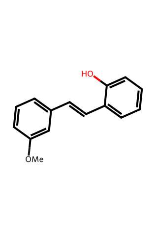 COc1cccc(C=Cc2ccccc2O)c1